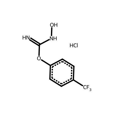 Cl.N=C(NO)Oc1ccc(C(F)(F)F)cc1